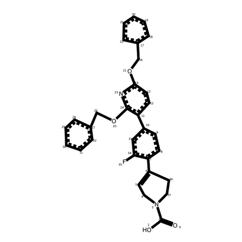 O=C(O)N1CC=C(c2ccc(-c3ccc(OCc4ccccc4)nc3OCc3ccccc3)cc2F)CC1